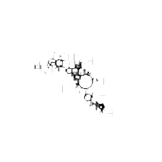 CC[C@H]1CCC[C@H](O[C@H]2CC[C@H](N(C)Cc3ccc(C)o3)C(C)O2)[C@@H](C)C(=O)C2=C[C@H]3[C@@H]4C[C@H](O[C@@H]5O[C@@H](C)[C@H](OC)C(OC)C5OC)C[C@H]4c4sc(C)nc4[C@H]3[C@@H]2CC(=O)O1